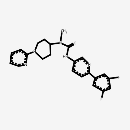 CN(C(=O)Nc1ccc(-c2cc(F)cc(F)c2)nc1)C1CCN(c2ccccn2)CC1